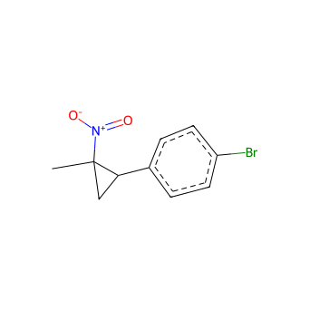 CC1([N+](=O)[O-])CC1c1ccc(Br)cc1